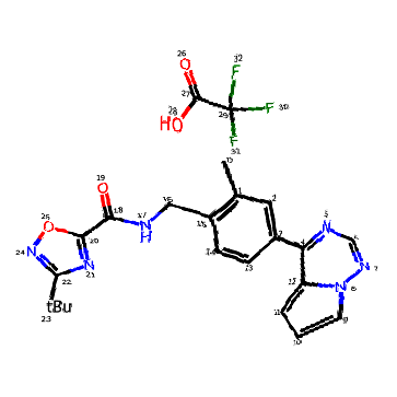 Cc1cc(-c2ncnn3cccc23)ccc1CNC(=O)c1nc(C(C)(C)C)no1.O=C(O)C(F)(F)F